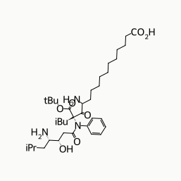 CC[C@H](C)[C@@](C(=O)OC(C)(C)C)(C(=O)C(N)CCCCCCCCCCC(=O)O)N(C(=O)C[C@H](O)[C@@H](N)CC(C)C)c1ccccc1